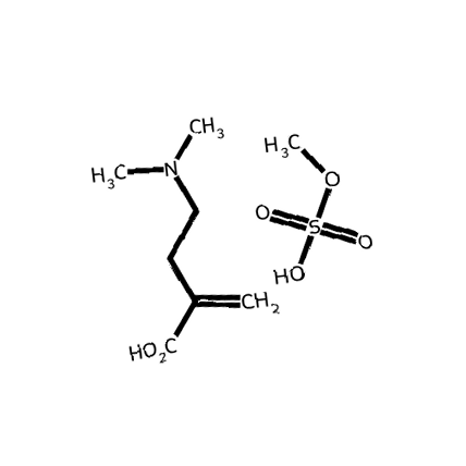 C=C(CCN(C)C)C(=O)O.COS(=O)(=O)O